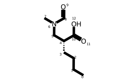 CCCC[C@H](CN(C)C=O)C(=O)O